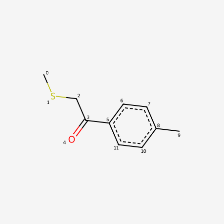 CSCC(=O)c1ccc(C)cc1